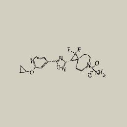 NS(=O)(=O)N1CCC2(CC1)[C@H](c1noc(-c3ccnc(OC4CC4)c3)n1)C2(F)F